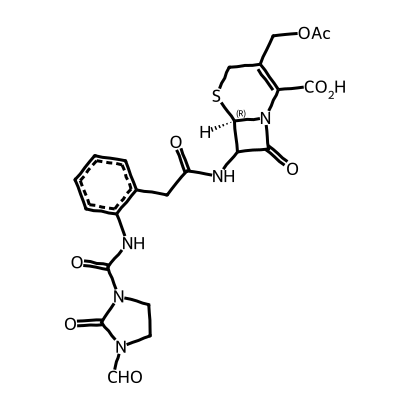 CC(=O)OCC1=C(C(=O)O)N2C(=O)C(NC(=O)Cc3ccccc3NC(=O)N3CCN(C=O)C3=O)[C@H]2SC1